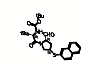 CC(C)(C)OC(=O)N[C@H](C(=O)N1C[C@H](Sc2ccc3ccccc3c2)C[C@H]1C=O)C(C)(C)C